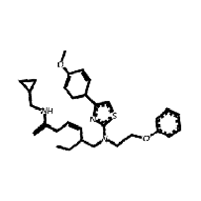 C=C(C/C=C\C(CC)CN(CCOc1ccccc1)c1nc(C2C=CC(OC)=CC2)cs1)NCC1CC1